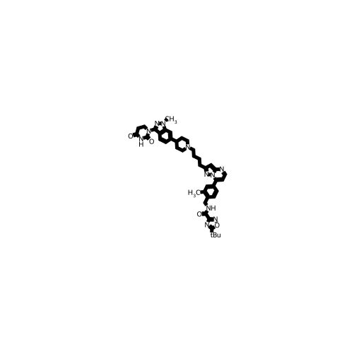 Cc1cc(-c2ccnc3cc(CCCCN4CCC(c5ccc6c(N7CCC(=O)NC7=O)nn(C)c6c5)CC4)nn23)ccc1CNC(=O)c1noc(C(C)(C)C)n1